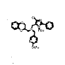 CCCCn1c(-c2ccccc2)nc(Cl)c1CN(Cc1ccc(OC)nc1)CC1COc2ccccc2O1